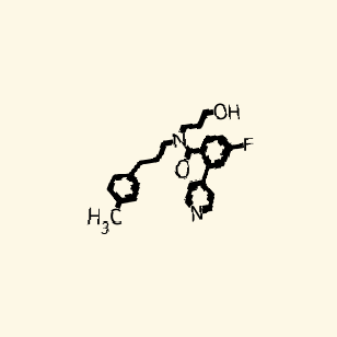 Cc1ccc(CCCN(CCCO)C(=O)c2ccc(F)cc2-c2ccncc2)cc1